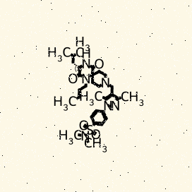 CCCCN1C(=O)[C@H](CC(C)C)NC(=O)C12CCN(Cc1c(C)nn(-c3ccc(S(=O)(=O)N(C)C)cc3)c1C)CC2